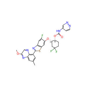 COc1cnc2c(-c3nc4cc(F)c(O[C@H]5CC(F)(F)CC[C@H]5OC(=O)Nc5ccnnc5)cc4s3)cc(C)cc2n1